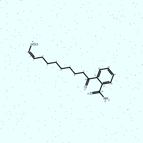 CCCCCCCC/C=C\CCCCCCCC(=O)c1ccccc1C(N)=O